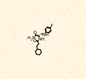 NC(=O)[C@H](CNc1ccc(F)cc1)NC(=O)[CH]CC1CCCCC1